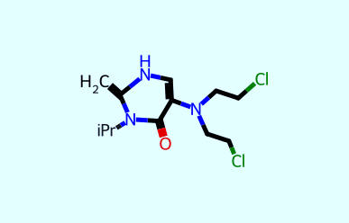 C=C1NC=C(N(CCCl)CCCl)C(=O)N1C(C)C